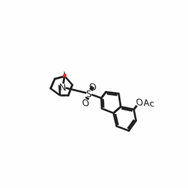 CC(=O)Oc1cccc2cc(S(=O)(=O)N3CC4CCC(CC4)C3)ccc12